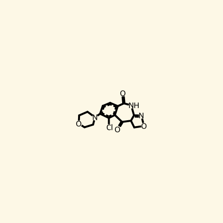 O=C1NC2=NOCC2C(=O)c2c1ccc(N1CCOCC1)c2Cl